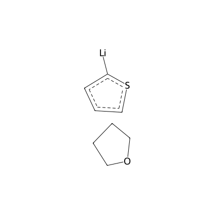 C1CCOC1.[Li][c]1cccs1